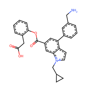 NCc1cccc(-c2cc(C(=O)Oc3ccccc3CC(=O)O)cc3c2ccn3CC2CC2)c1